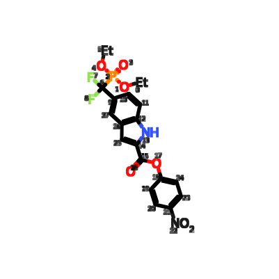 CCOP(=O)(OCC)C(F)(F)c1ccc2[nH]c(C(=O)Oc3ccc([N+](=O)[O-])cc3)cc2c1